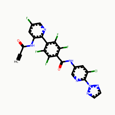 C#CC(=O)Nc1cc(F)cnc1-c1c(F)c(F)c(C(=O)Nc2cnc(-n3nccn3)c(Cl)c2)c(F)c1F